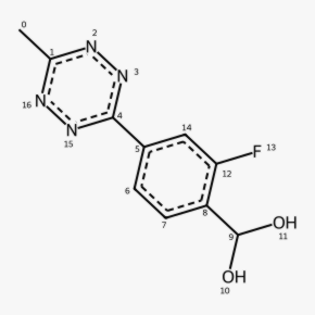 Cc1nnc(-c2ccc(C(O)O)c(F)c2)nn1